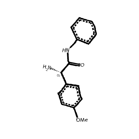 COc1ccc([C@H](N)C(=O)Nc2ccccc2)cc1